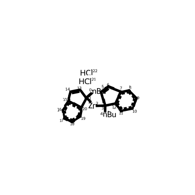 CCCC[C]1([Zr][C]2(CCCC)C=Cc3ccccc32)C=Cc2ccccc21.Cl.Cl